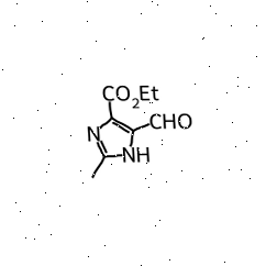 CCOC(=O)c1nc(C)[nH]c1C=O